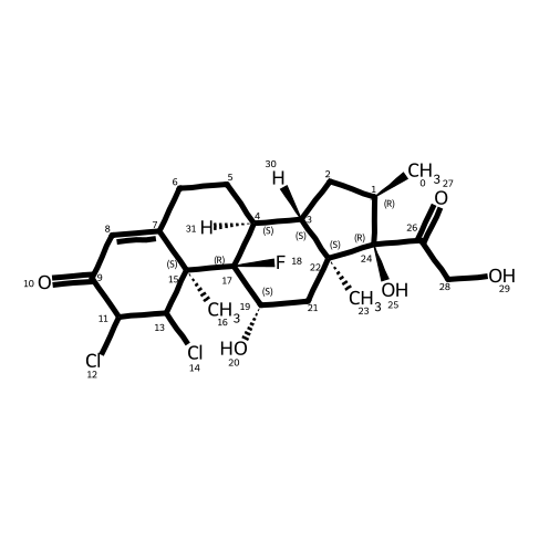 C[C@@H]1C[C@H]2[C@@H]3CCC4=CC(=O)C(Cl)C(Cl)[C@]4(C)[C@@]3(F)[C@@H](O)C[C@]2(C)[C@@]1(O)C(=O)CO